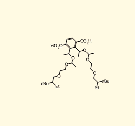 CCCCC(CC)COCCOC(C)OC(C)c1c(C(=O)O)ccc(C(=O)O)c1C(C)OC(C)OCCOCC(CC)CCCC